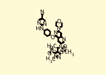 CC(c1cnn(C)c1[N+](=O)[O-])N(c1cnc2cc(N3CCOCC3)nc(O[C@H]3CC[C@@H](Nc4ncc(C#N)cn4)CC3)c2c1)S(C)(=O)=O